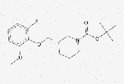 COc1cccc(F)c1OC[C@H]1CCCN(C(=O)OC(C)(C)C)C1